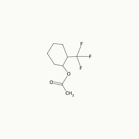 CC(=O)OC1CCCCC1C(F)(F)F